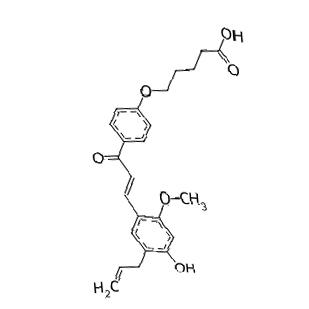 C=CCc1cc(/C=C/C(=O)c2ccc(OCCCCC(=O)O)cc2)c(OC)cc1O